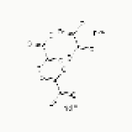 O=C([O-])C(=O)[O-].O=C([O-])C(=O)[O-].O=C([O-])C(=O)[O-].[Nd+3].[Pr+3]